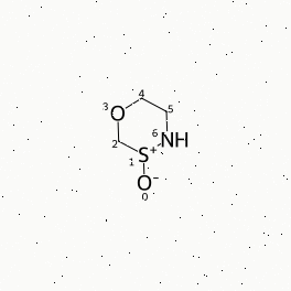 [O-][S+]1COCCN1